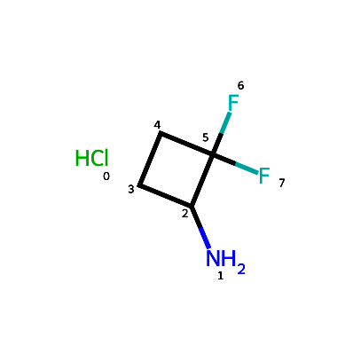 Cl.NC1CCC1(F)F